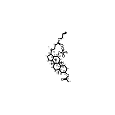 C=CCOC(=O)CC[C@@H](C)C1CC[C@H]2[C@@H]3CC[C@@H]4C[C@H](OC(C)=O)CC[C@]4(C)[C@H]3C[C@H](OS(C)(=O)=O)[C@]12C